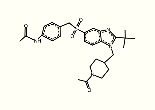 CC(=O)Nc1ccc(CS(=O)(=O)c2ccc3c(c2)nc(C(C)(C)C)n3CC2CCN(C(C)=O)CC2)cc1